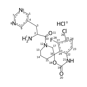 Cl.NC(Cc1cncnc1)C(=O)N1CCCC2(C1)OC(=O)Nc1ccc(Cl)c(F)c12